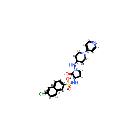 O=C1[C@H](NS(=O)(=O)c2ccc3cc(Cl)ccc3c2)CCN1NC1CCN(c2ccncc2)CC1